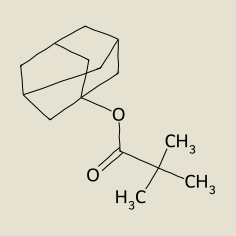 CC(C)(C)C(=O)OC12CC3CC(CC(C3)C1)C2